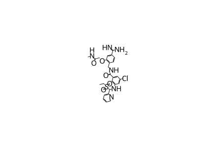 CCS(=O)(=O)C(Nc1cc(Cl)cc(C(=O)NCc2ccc(C(=N)N)cc2OCC(=O)NC)c1)c1ccccn1